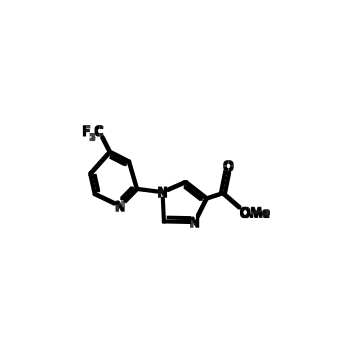 COC(=O)c1cn(-c2cc(C(F)(F)F)ccn2)cn1